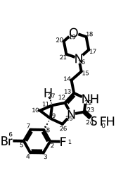 F.Fc1ccc(Br)cc1[C@]12C[C@H]1c1c(CCN3CCOCC3)[nH]c(=S)n1C2